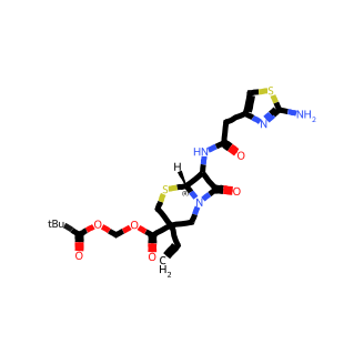 C=CC1(C(=O)OCOC(=O)C(C)(C)C)CS[C@@H]2C(NC(=O)Cc3csc(N)n3)C(=O)N2C1